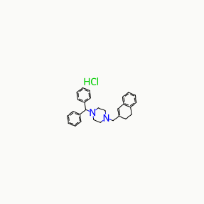 C1=C(CN2CCN(C(c3ccccc3)c3ccccc3)CC2)CCc2ccccc21.Cl